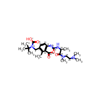 Cc1c(CN(C(=O)O)C(C)(C)C)ccc2nc(N[C@@H](C)C(=O)N(C)CCN(C)C)oc(=O)c12